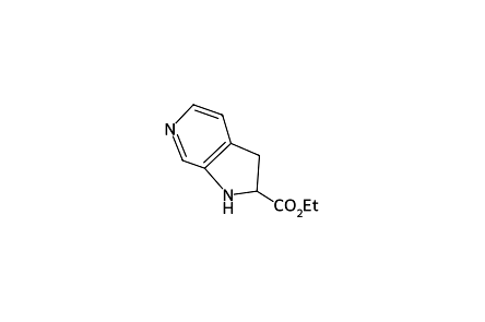 CCOC(=O)C1Cc2ccncc2N1